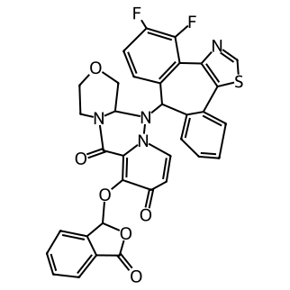 O=C1OC(Oc2c3n(ccc2=O)N(C2c4ccccc4-c4scnc4-c4c2ccc(F)c4F)C2COCCN2C3=O)c2ccccc21